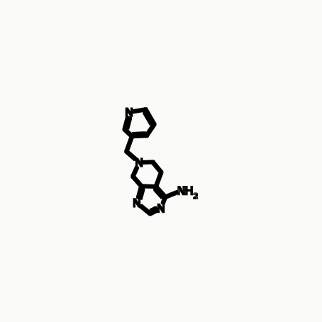 Nc1ncnc2c1CCN(Cc1cccnc1)C2